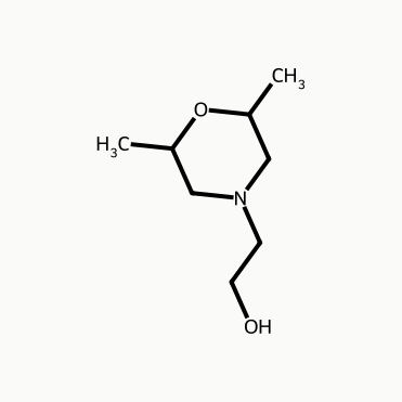 CC1CN(CCO)CC(C)O1